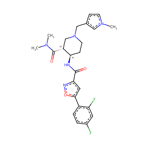 CN(C)C(=O)[C@@H]1CN(Cc2ccn(C)c2)CC[C@H]1NC(=O)c1cc(-c2ccc(F)cc2F)on1